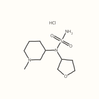 CN1CCCC(N(C2CCOC2)S(N)(=O)=O)C1.Cl